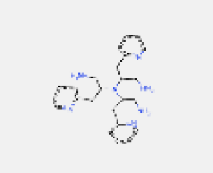 NCC(Cc1ccccn1)N(C(CN)Cc1ccccn1)C(CN)Cc1ccccn1